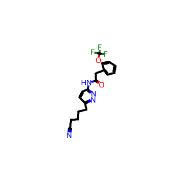 N#CCCCCc1ccc(NC(=O)Cc2ccccc2OC(F)(F)F)nn1